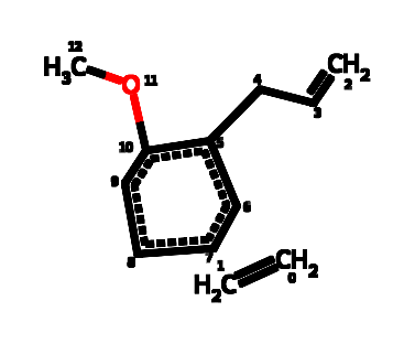 C=C.C=CCc1ccccc1OC